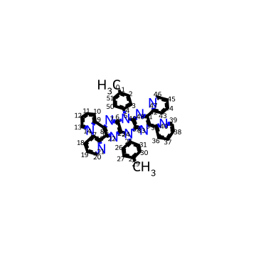 Cc1ccc(N2c3nc(-c4ccccn4)c(-c4ccccn4)nc3N(c3ccc(C)cc3)c3nc(-c4ccccn4)c(-c4ccccn4)nc32)cc1